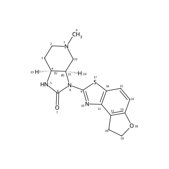 CN1CC[C@@H]2NC(=O)N(c3nc4c5c(ccc4s3)OCC5)[C@@H]2C1